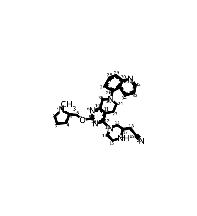 CN1CCCC1COc1nc2c(c(N3CCNC(CC#N)C3)n1)CCN(c1cccc3ncccc13)C2